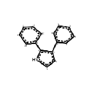 c1ccc(-c2cc[nH]c2-c2ccccc2)cc1